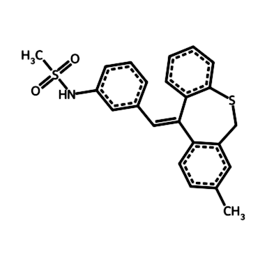 Cc1ccc2c(c1)CSc1ccccc1C2=Cc1cccc(NS(C)(=O)=O)c1